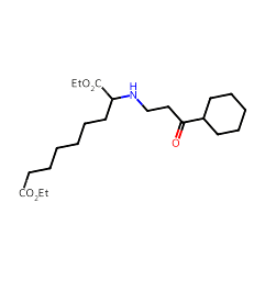 CCOC(=O)CCCCCCC(NCCC(=O)C1CCCCC1)C(=O)OCC